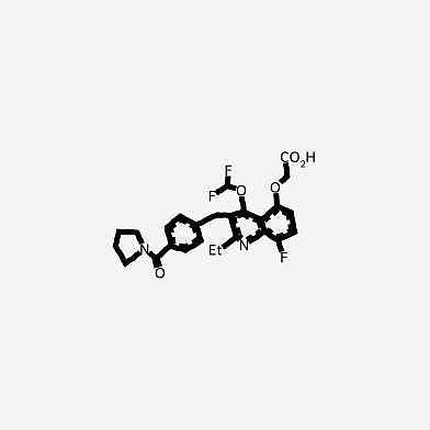 CCc1nc2c(F)ccc(OCC(=O)O)c2c(OC(F)F)c1Cc1ccc(C(=O)N2CCCC2)cc1